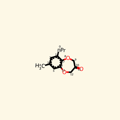 CCCc1cc(C)cc2c1OCC(=O)CO2